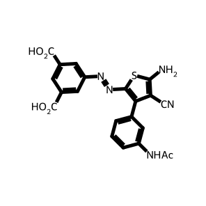 CC(=O)Nc1cccc(-c2c(N=Nc3cc(C(=O)O)cc(C(=O)O)c3)sc(N)c2C#N)c1